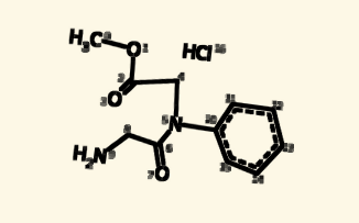 COC(=O)CN(C(=O)CN)c1ccccc1.Cl